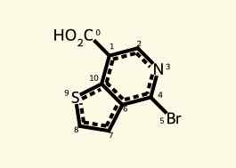 O=C(O)c1cnc(Br)c2ccsc12